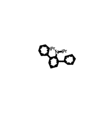 CC(C)N(c1c(-c2ccccc2)cccc1-c1ccccc1)C(C)C